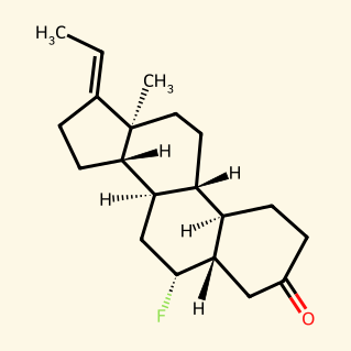 CC=C1CC[C@H]2[C@@H]3C[C@@H](F)[C@H]4CC(=O)CC[C@@H]4[C@H]3CC[C@]12C